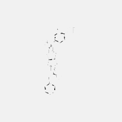 O=C(Cc1ccccc1)N1CC2=C(C1)CN([S+]([O-])c1ccc(C(F)(F)F)nc1)C2